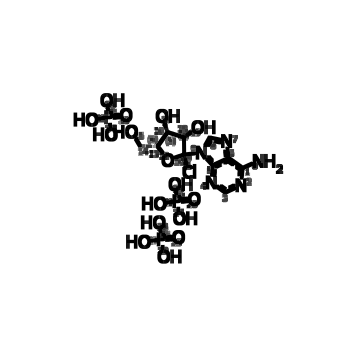 Nc1ncnc2c1ncn2[C@]1(Cl)O[C@H](CO)[C@@H](O)[C@H]1O.O=P(O)(O)O.O=P(O)(O)O.O=P(O)(O)O